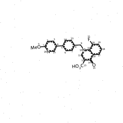 COc1ccc(-c2ccc(Cn3cc(C(=O)O)c(=O)c4cccc(F)c43)cc2)cn1